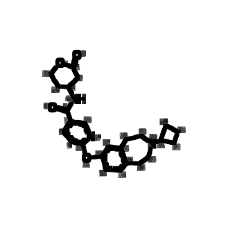 O=C1CC(NC(=O)c2ccc(Oc3ccc4c(c3)CCN(C3CCC3)CC4)nc2)CCO1